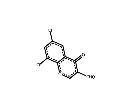 O=Cc1coc2c(Cl)cc(Cl)cc2c1=O